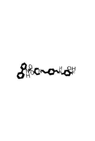 O=C(Nc1ccccc1-c1ccccc1)OC1CCN(CCc2ccc(CCNCc3ccc(F)c(O)c3)cc2)CC1